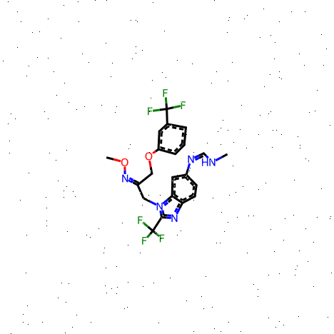 CN/C=N\c1ccc2nc(C(F)(F)F)n(C/C(COc3cccc(C(F)(F)F)c3)=N/OC)c2c1